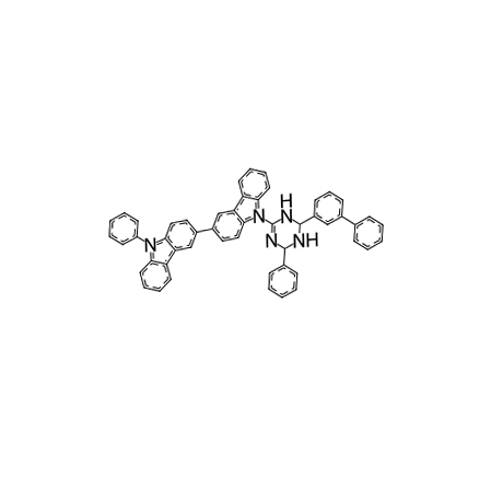 c1ccc(-c2cccc(C3NC(n4c5ccccc5c5cc(-c6ccc7c(c6)c6ccccc6n7-c6ccccc6)ccc54)=NC(c4ccccc4)N3)c2)cc1